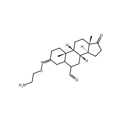 C[C@]12CC/C(=N/OCCN)CC1C(C=O)C[C@@H]1[C@H]2CC[C@]2(C)C(=O)CC[C@@H]12